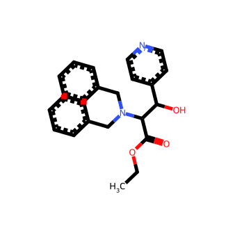 CCOC(=O)C(C(O)c1ccncc1)N(Cc1ccccc1)Cc1ccccc1